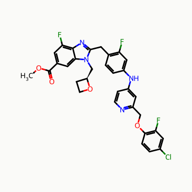 COC(=O)c1cc(F)c2nc(Cc3ccc(Nc4ccnc(COc5ccc(Cl)cc5F)c4)cc3F)n(C[C@@H]3CCO3)c2c1